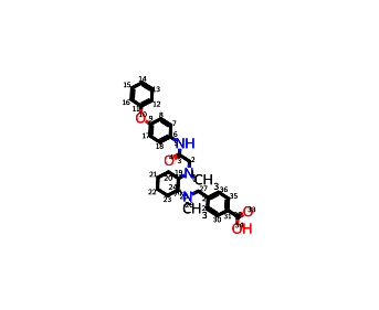 CN(CC(=O)Nc1ccc(Oc2ccccc2)cc1)C1CCCC[C@H]1N(C)Cc1ccc(C(=O)O)cc1